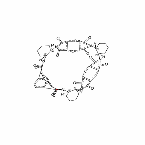 O=C1c2ccc3c4c5ccc(c24)C(=O)N1[C@@H]1CCCC[C@H]1n1c(=O)c2cc4c(=O)n(c(=O)c4cc2c1=O)[C@@H]1CCCC[C@H]1n1c(=O)c2cc4c(=O)n(c(=O)c4cc2c1=O)[C@@H]1CCCC[C@H]1N(C3=O)C5=O